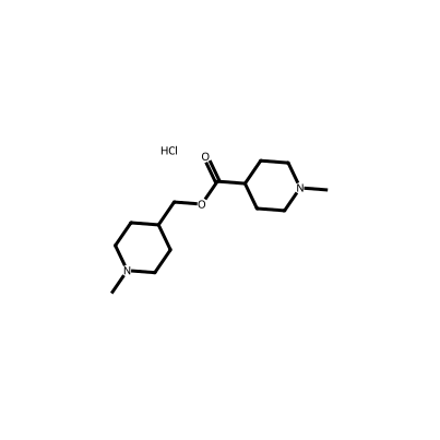 CN1CCC(COC(=O)C2CCN(C)CC2)CC1.Cl